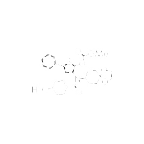 COC(=O)Oc1sc(-c2ccccc2)cc1N(C(=O)[C@H]1CC[C@H](C)CC1)C1CCC2(CC1)OCCO2